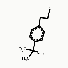 CC(C)(C(=O)O)c1ccc(CCCl)cc1